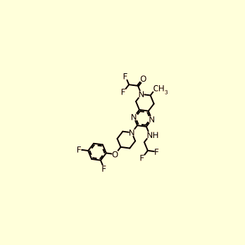 CC1Cc2nc(NCC(F)F)c(N3CCC(Oc4ccc(F)cc4F)CC3)nc2CN1C(=O)C(F)F